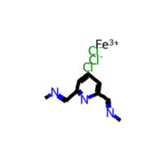 CN=Cc1cccc(C=NC)n1.[Cl-].[Cl-].[Cl-].[Fe+3]